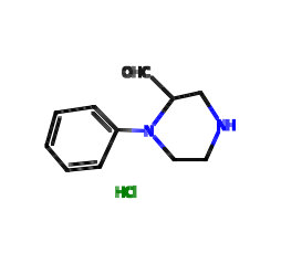 Cl.O=CC1CNCCN1c1ccccc1